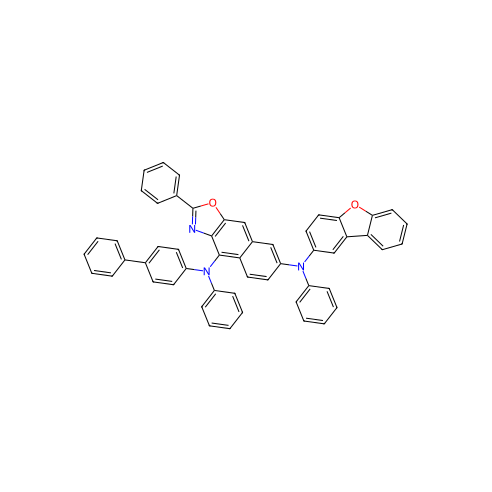 c1ccc(-c2ccc(N(c3ccccc3)c3c4ccc(N(c5ccccc5)c5ccc6oc7ccccc7c6c5)cc4cc4oc(-c5ccccc5)nc34)cc2)cc1